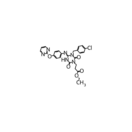 CCOC(=O)CCn1c(=O)[nH]/c(=N\c2ccc(Oc3ncccn3)cc2)n(Cc2ccc(Cl)cc2)c1=O